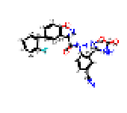 N#Cc1ccc(NC(=O)c2noc3ccc(-c4ccccc4F)cc23)c(-c2noc(=O)[nH]2)c1